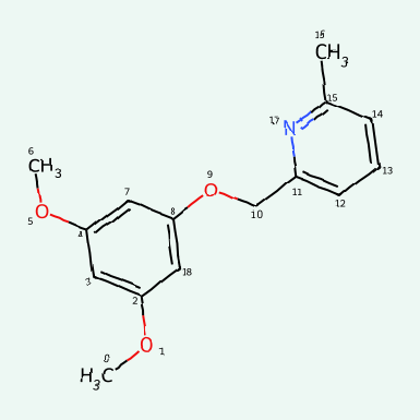 COc1cc(OC)cc(OCc2cccc(C)n2)c1